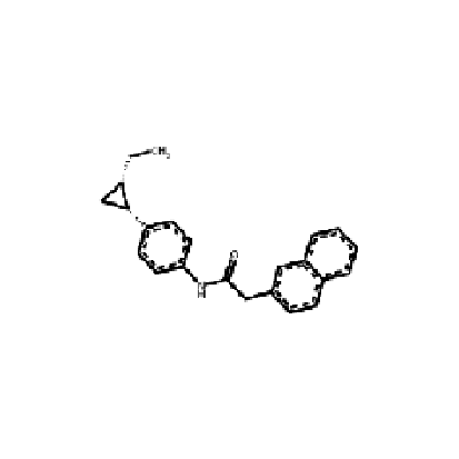 CC[C@H]1C[C@H]1c1ccc(NC(=O)Cc2ccc3ccccc3c2)cc1